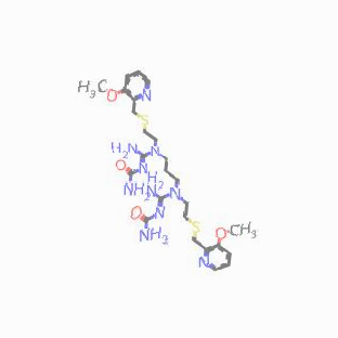 COc1cccnc1CSCCN(CCCN(CCSCc1ncccc1OC)C(N)=NC(N)=O)C(N)=NC(N)=O